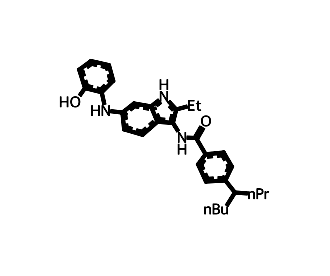 CCCCC(CCC)c1ccc(C(=O)Nc2c(CC)[nH]c3cc(Nc4ccccc4O)ccc23)cc1